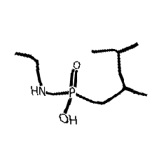 CCNP(=O)(O)CC(C)C(C)C